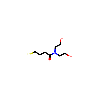 O=C(CCCS)N(CCO)CCO